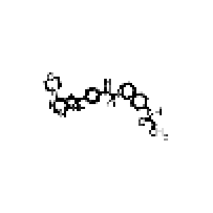 C=CC(=O)NC1CCC2(CCCN(C(=O)Nc3ccc(-c4cc5c(N6CCOCC6)ncnc5[nH]4)cc3)C2)CC1